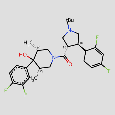 C[C@@H]1CN(C(=O)[C@@H]2CN(C(C)(C)C)C[C@H]2C2CC=C(F)C=C2F)C[C@H](C)C1(O)c1ccc(F)c(F)c1